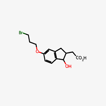 O=C(O)CC1Cc2cc(OCCCBr)ccc2C1O